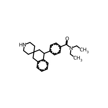 CCN(CC)C(=O)c1ccc(C2CC3(CCNCC3)Cc3ccccc32)cc1